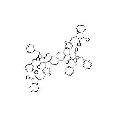 O=C1C(=O)c2ccccc2/C1=C/c1cc2c(s1)C1=CC3C=C4C(=CC3C=C1C2(C(=O)OCc1ccccc1)C(=O)OCc1ccccc1)c1sc(/C=C2\C(=O)C(=O)c3ccccc32)cc1C4(C(=O)OCc1ccccc1)C(=O)OCc1ccccc1